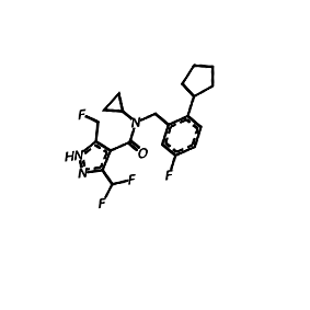 O=C(c1c(C(F)F)n[nH]c1CF)N(Cc1cc(F)ccc1C1CCCC1)C1CC1